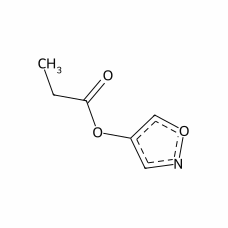 CCC(=O)Oc1cnoc1